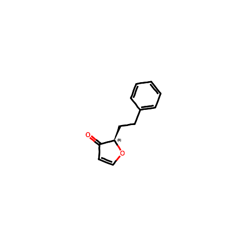 O=C1C=CO[C@@H]1CCc1ccccc1